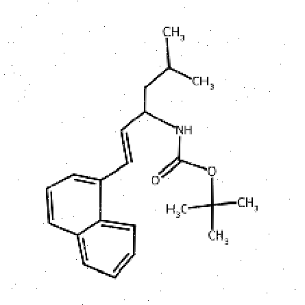 CC(C)CC(C=Cc1cccc2ccccc12)NC(=O)OC(C)(C)C